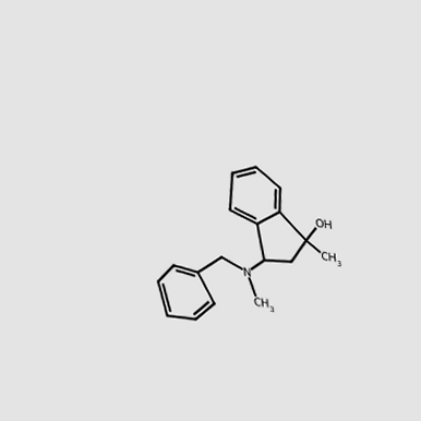 CN(Cc1ccccc1)C1CC(C)(O)c2ccccc21